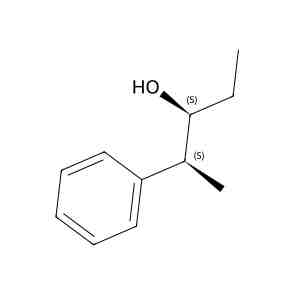 CC[C@H](O)[C@@H](C)c1ccccc1